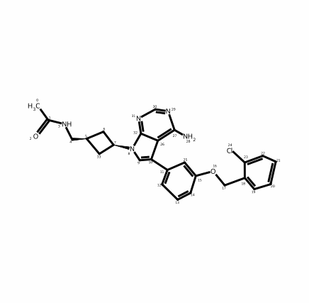 CC(=O)NC[C@H]1C[C@@H](n2cc(-c3cccc(OCc4ccccc4Cl)c3)c3c(N)ncnc32)C1